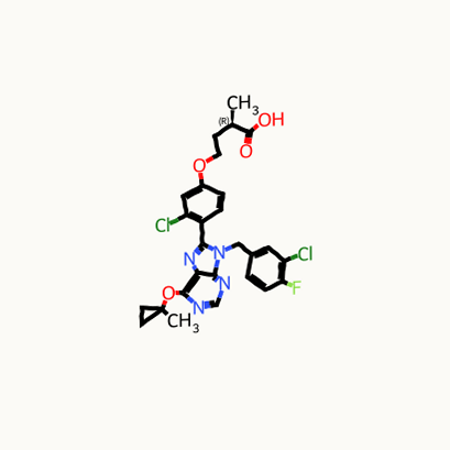 C[C@H](CCOc1ccc(-c2nc3c(OC4(C)CC4)ncnc3n2Cc2ccc(F)c(Cl)c2)c(Cl)c1)C(=O)O